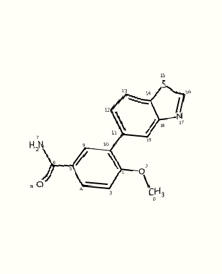 COc1ccc(C(N)=O)cc1-c1ccc2scnc2c1